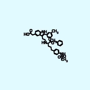 Cc1cc(C)cc(-c2[nH]c3ccc(CC(=O)O)cc3c2CCNC(CCCc2ccc(NS(C)(=O)=O)cc2)C(=O)OCc2ccccc2)c1